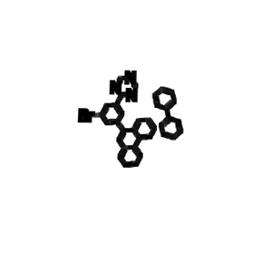 Brc1cc(-c2ncncn2)cc(-c2cc3ccccc3c3ccccc23)c1.c1ccc(-c2ccccc2)cc1